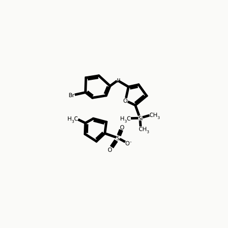 C[Si](C)(C)c1ccc([I+]c2ccc(Br)cc2)o1.Cc1ccc(S(=O)(=O)[O-])cc1